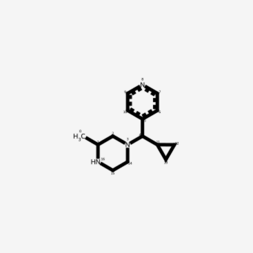 CC1CN(C(c2ccncc2)C2CC2)CCN1